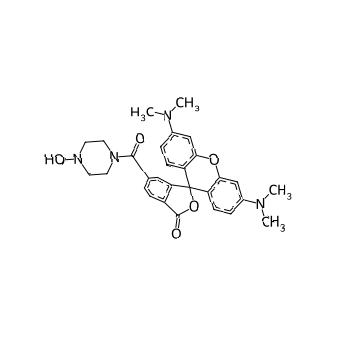 CN(C)c1ccc2c(c1)Oc1cc(N(C)C)ccc1C21OC(=O)c2ccc(C(=O)N3CCN(O)CC3)cc21